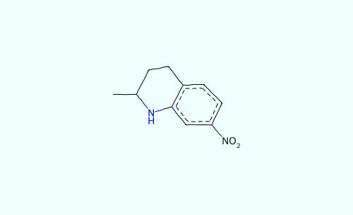 CC1CCc2ccc([N+](=O)[O-])cc2N1